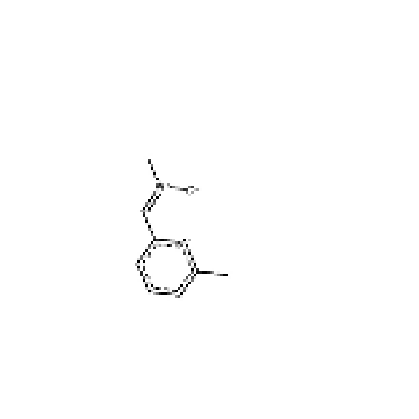 Cc1cccc(C=[N+](C)[O-])n1